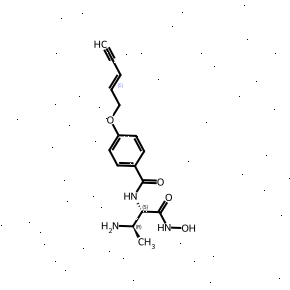 C#C/C=C/COc1ccc(C(=O)N[C@H](C(=O)NO)[C@@H](C)N)cc1